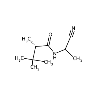 CC(C#N)NC(=O)[C@@H](C)C(C)(C)C